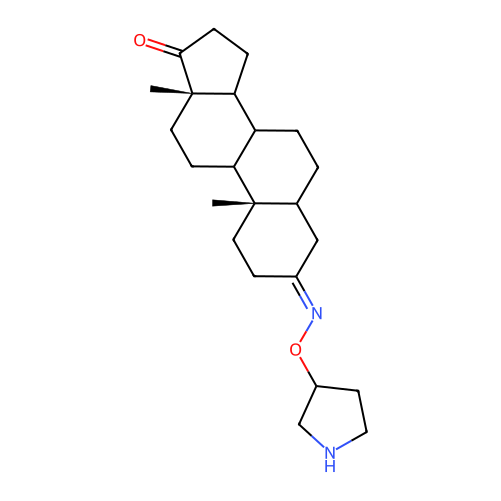 C[C@]12CC/C(=N\OC3CCNC3)CC1CCC1C2CC[C@]2(C)C(=O)CCC12